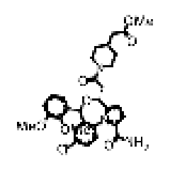 COC(=O)CC1CCN(C(=O)C[C@H]2O[C@H](c3cccc(OC)c3OC)c3cc(Cl)ccc3-n3c(C(N)=O)ccc32)CC1